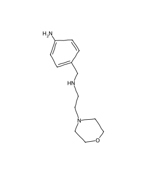 Nc1ccc(CNCCN2CCOCC2)cc1